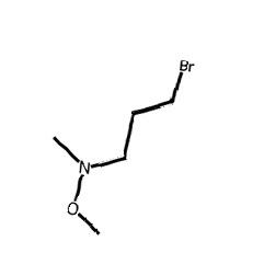 CON(C)CCCBr